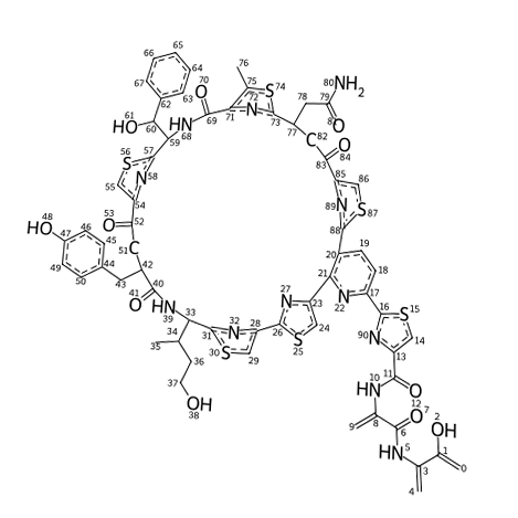 C=C(O)C(=C)NC(=O)C(=C)NC(=O)c1csc(-c2ccc3c(n2)-c2csc(n2)-c2csc(n2)C(C(C)CCO)NC(=O)C(Cc2ccc(O)cc2)CC(=O)c2csc(n2)C(C(O)c2ccccc2)NC(=O)c2nc(sc2C)C(CC(N)=O)CC(=O)c2csc-3n2)n1